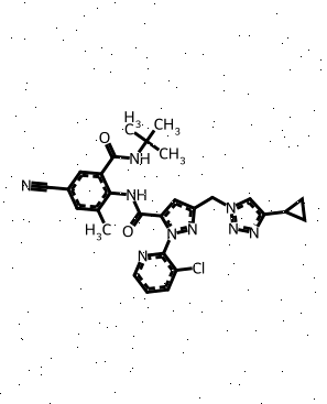 Cc1cc(C#N)cc(C(=O)NC(C)(C)C)c1NC(=O)c1cc(Cn2cc(C3CC3)nn2)nn1-c1ncccc1Cl